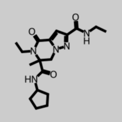 CCNC(=O)c1cc2n(n1)CC(C)(C(=O)NC1CCCC1)N(CC)C2=O